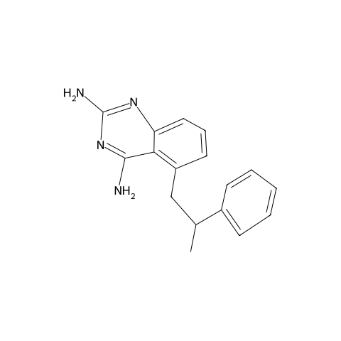 CC(Cc1cccc2nc(N)nc(N)c12)c1ccccc1